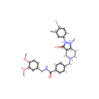 COc1ccc(CNC(=O)c2ccc(CN3CCc4c(c(=O)n(-c5ccc(F)c(C)c5)n4C)C3)cc2)cc1OC